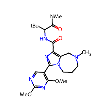 CNC(=O)C(NC(=O)c1nc(-c2cnc(OC)nc2OC)n2c1CN(C)CCC2)C(C)(C)C